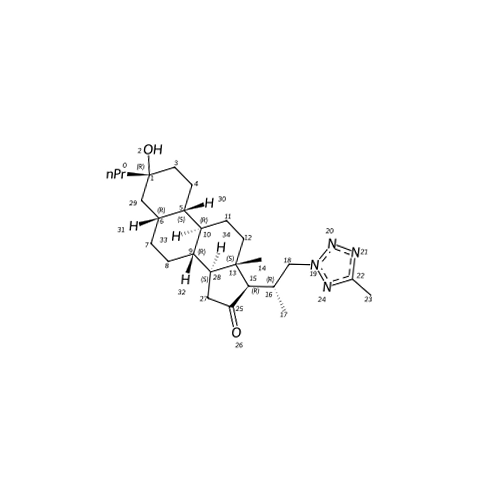 CCC[C@@]1(O)CC[C@H]2[C@H](CC[C@@H]3[C@@H]2CC[C@]2(C)[C@@H]([C@@H](C)Cn4nnc(C)n4)C(=O)C[C@@H]32)C1